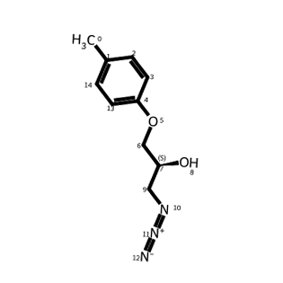 Cc1ccc(OC[C@@H](O)CN=[N+]=[N-])cc1